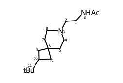 CC(=O)NCCN1CCC2(CC1)CC(C(C)(C)C)C2